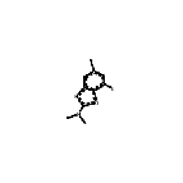 Cc1cc(Br)c2oc(N(C)C)nc2c1